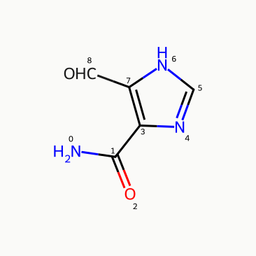 NC(=O)c1nc[nH]c1C=O